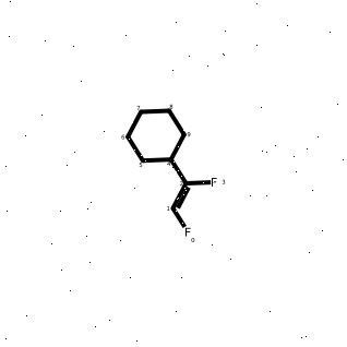 FC=C(F)C1CCCCC1